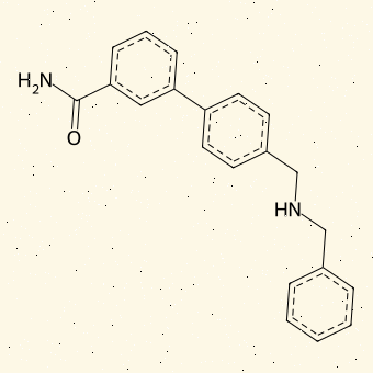 NC(=O)c1cccc(-c2ccc(CNCc3ccccc3)cc2)c1